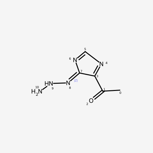 CC(=O)C1=NC=N/C1=N\NN